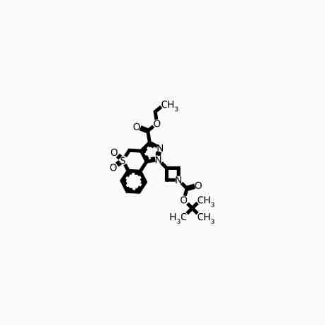 CCOC(=O)c1nn(C2CN(C(=O)OC(C)(C)C)C2)c2c1CS(=O)(=O)c1ccccc1-2